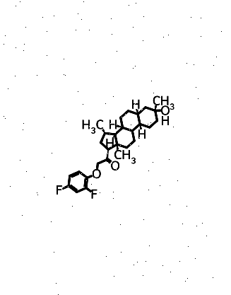 C[C@@H]1C[C@H](C(=O)COc2ccc(F)cc2F)[C@@]2(C)CCC3[C@H]4CC[C@@](C)(O)C[C@H]4CC[C@H]3[C@H]12